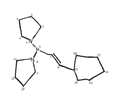 C(=CP(N1CCCC1)N1CCCC1)C1CCCCC1